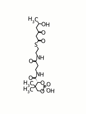 C[C@@H](O)CC(=O)CC(=O)SCCNC(=O)CCNC(=O)[C@@H]1OP(=O)(O)OCC1(C)C